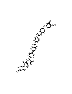 N#Cc1ccc(O[C@H]2CC[C@H](NC(=O)c3ccc(N4CC5CN(C6CCN(c7cc8c(cc7F)C(=O)N(C7CCC(=O)NC7=O)C8=O)CC6)CC5C4)nn3)CC2)cc1Cl